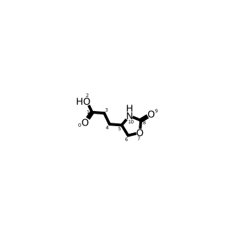 O=C(O)CCC1COC(=O)N1